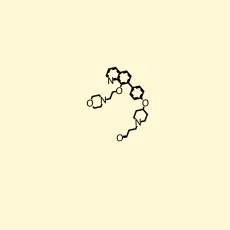 O=CCCN1CCC(Oc2ccc(-c3ccc4cccnc4c3OCCN3CCOCC3)cc2)CC1